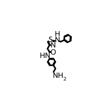 NCCc1ccc(NC(=O)Cc2csc(NCc3ccccc3)n2)cc1